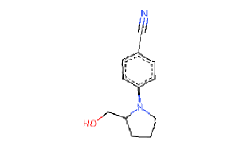 N#Cc1ccc(N2CCCC2CO)cc1